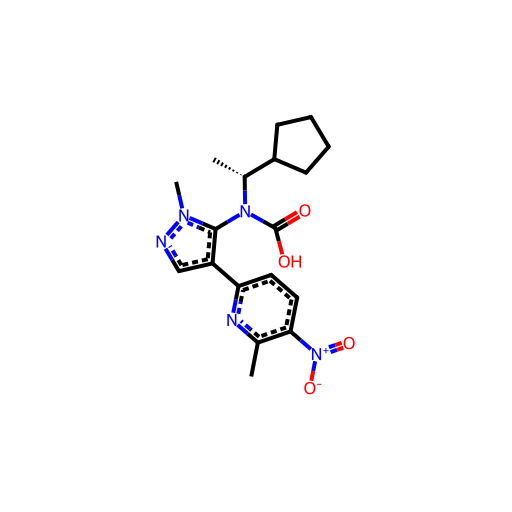 Cc1nc(-c2cnn(C)c2N(C(=O)O)[C@H](C)C2CCCC2)ccc1[N+](=O)[O-]